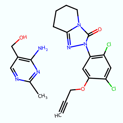 C#CCOc1cc(-n2nc3n(c2=O)CCCC3)c(Cl)cc1Cl.Cc1ncc(CO)c(N)n1